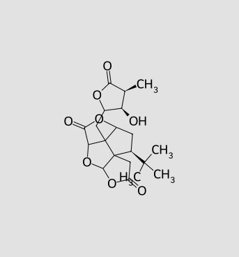 C[C@@H]1C(=O)OC(CC23C4C[C@@H](C(C)(C)C)C25CC(=O)OC5OC3C(=O)O4)[C@@H]1O